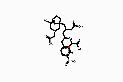 O=C(O)CN(CC(=O)O)CC1(CN(CC(=O)O)CC(Cc2ccc([N+](=O)[O-])cc2)NC(C(=O)O)C(=O)O)CCCC1